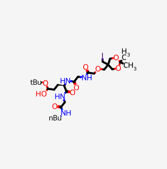 CCCCNC(=O)CNC(=O)[C@@H](CCC(O)OC(C)(C)C)NC(=O)CNC(=O)COCC1(CI)COC(C)(C)OC1